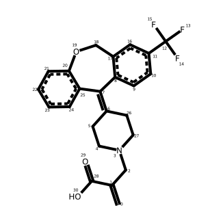 C=C(CN1CCC(=C2c3ccc(C(F)(F)F)cc3COc3ccccc32)CC1)C(=O)O